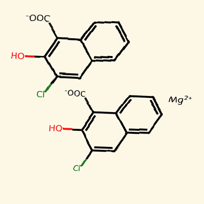 O=C([O-])c1c(O)c(Cl)cc2ccccc12.O=C([O-])c1c(O)c(Cl)cc2ccccc12.[Mg+2]